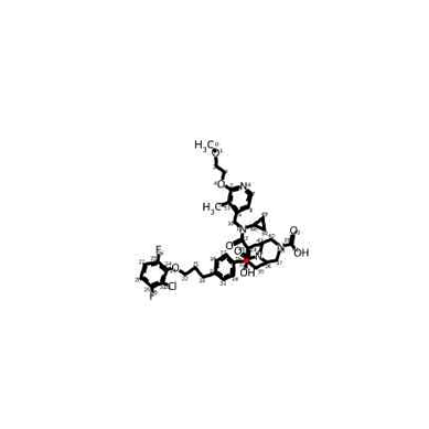 COCCOc1nccc(CN(C(=O)C2=C(c3ccc(CCCOc4c(F)ccc(F)c4Cl)cc3)CC3CN(C(=O)O)CC2N3C(=O)O)C2CC2)c1C